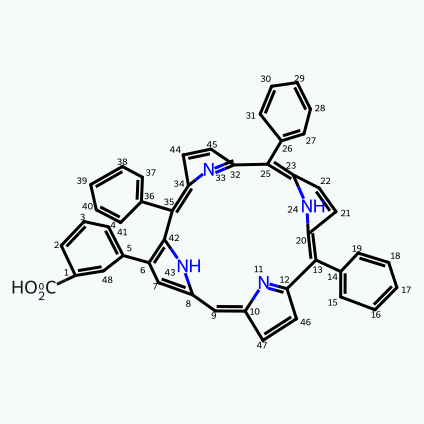 O=C(O)c1cccc(-c2cc3cc4nc(c(-c5ccccc5)c5ccc([nH]5)c(-c5ccccc5)c5nc(c(-c6ccccc6)c2[nH]3)C=C5)C=C4)c1